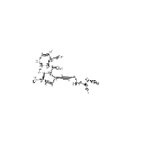 CC(C)(C)OC(=O)NCC#Cc1ccc(Cl)cc1C(=O)c1c(F)cccc1F